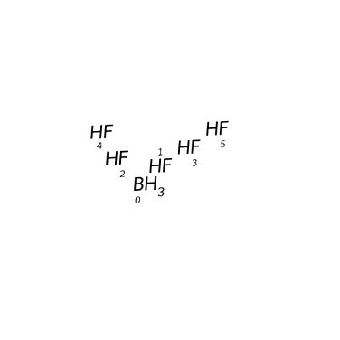 B.F.F.F.F.F